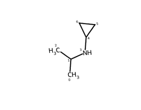 CC(C)NC1CC1